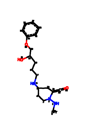 CCCNN1CCC(NCCCC(O)COc2ccccc2)CC1=C=O